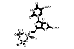 B[PH]1(OC[C@H]2O[C@@H](n3cc(OC)c(=O)[nH]c3=O)[C@H]3OC(OC)OC23)OP(=O)(O)OP(=O)(O)O1